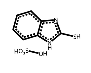 O=S(=O)(O)O.Sc1nc2ccccc2[nH]1